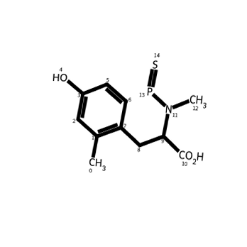 Cc1cc(O)ccc1CC(C(=O)O)N(C)P=S